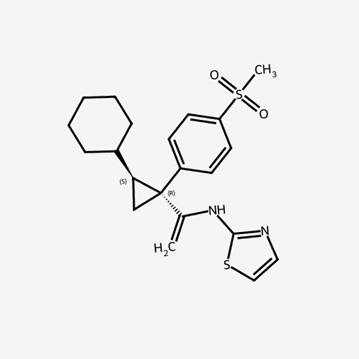 C=C(Nc1nccs1)[C@]1(c2ccc(S(C)(=O)=O)cc2)C[C@H]1C1CCCCC1